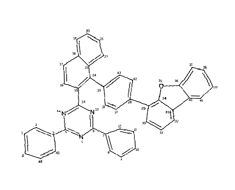 c1ccc(-c2nc(-c3ccccc3)nc(-c3ccc4ccccc4c3-c3ccc(-c4cccc5c4oc4ccccc45)cc3)n2)cc1